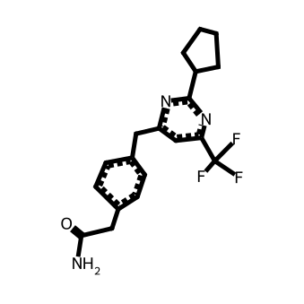 NC(=O)Cc1ccc(Cc2cc(C(F)(F)F)nc(C3CCCC3)n2)cc1